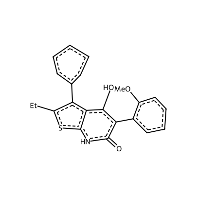 CCc1sc2[nH]c(=O)c(-c3ccccc3OC)c(O)c2c1-c1ccccc1